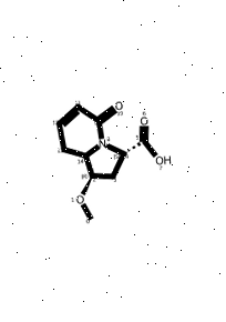 CO[C@@H]1C[C@@H](C(=O)O)N2C(=O)C=CCC12